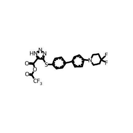 O=C(OC(=O)C(F)(F)F)c1[nH]nnc1Sc1ccc(-c2ccc(N3CCC(F)(F)CC3)cc2)cc1